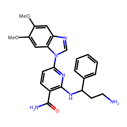 COc1cc2ncn(-c3ccc(C(N)=O)c(NC(CCN)c4ccccc4)n3)c2cc1OC